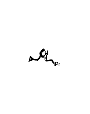 CC(C)CCn1n[c]cc1CC1CC1